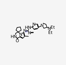 C=N/C(=N\c1c(C)cc2n1C1(CCCC1)CNC2=O)Nc1ccc(N2CCC(N(CC)CC)C2)cn1